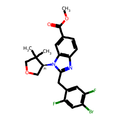 COC(=O)c1ccc2nc(Cc3cc(F)c(Br)cc3F)n([C@H]3COCC3(C)C)c2c1